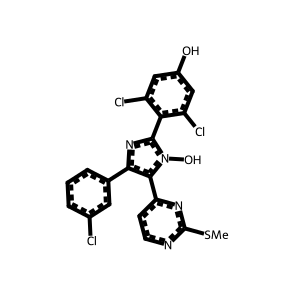 CSc1nccc(-c2c(-c3cccc(Cl)c3)nc(-c3c(Cl)cc(O)cc3Cl)n2O)n1